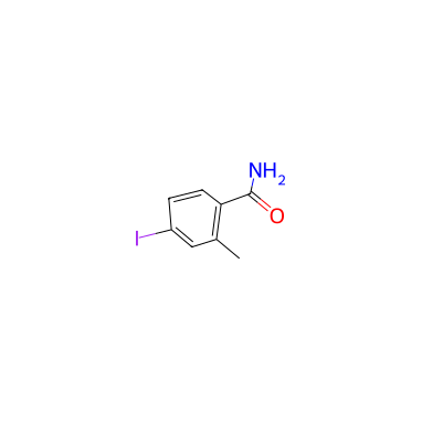 Cc1cc(I)ccc1C(N)=O